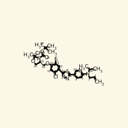 C=CCN(c1ccc(-c2nnc(-c3cc(F)c(OC[C@H]4COC(C)(C)N4C(=O)OC(C)(C)C)cc3Cl)s2)cn1)C(C)C